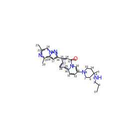 CCCNC1(C)CCN(C2=CN3C(=O)\C=C(c4cc5c(C)nc(C)cn5n4)/C=C/C=C/3C=C2)CC1